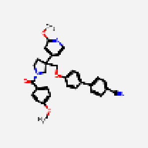 COc1ccc(C(=O)N2CCC(COc3ccc(-c4ccc(C#N)cc4)cc3)(c3ccnc(OC)c3)C2)cc1